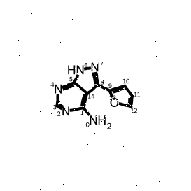 Nc1ncnc2[nH]nc(-c3ccco3)c12